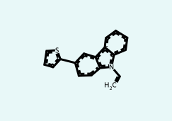 C=Cn1c2ccccc2c2cc(-c3cccs3)ccc21